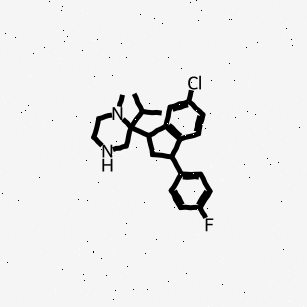 CC(C)C1(C2CC(c3ccc(F)cc3)c3ccc(Cl)cc32)CNCCN1C